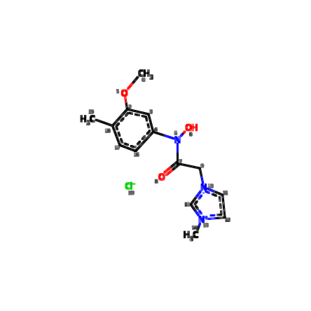 COc1cc(N(O)C(=O)Cn2cc[n+](C)c2)ccc1C.[Cl-]